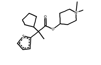 CC(C(=O)OC1CC[N+](C)(C)CC1)(c1cccs1)C1CCCC1